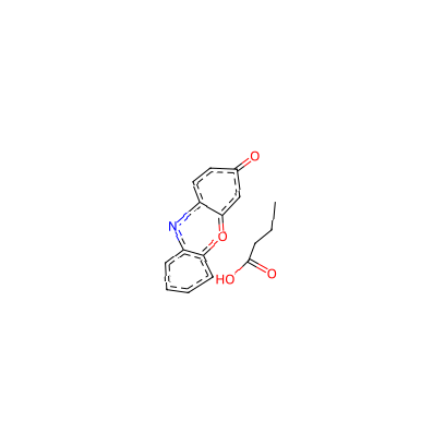 CCCC(=O)O.O=c1ccc2nc3ccccc3oc-2c1